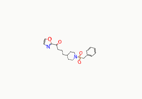 O=C(CCCC1CCN(S(=O)(=O)Cc2ccccc2)CC1)c1ncco1